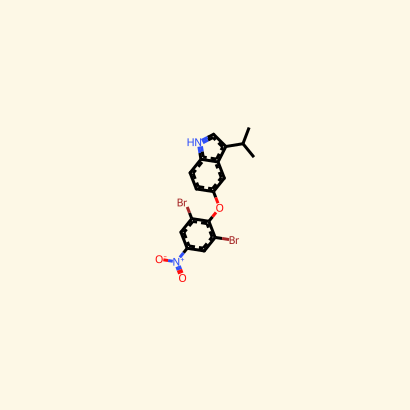 CC(C)c1c[nH]c2ccc(Oc3c(Br)cc([N+](=O)[O-])cc3Br)cc12